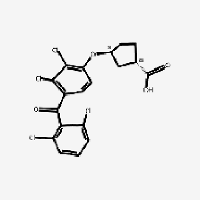 O=C(c1ccc(O[C@H]2CC[C@H](C(=O)O)C2)c(Cl)c1Cl)c1c(Cl)cccc1Cl